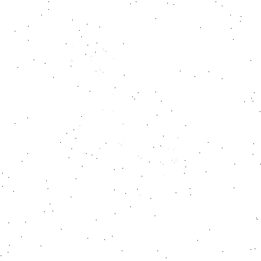 Cc1ccc(-n2nc(C(C)(C)C)cc2NC(=O)N[C@H]2CC[C@@H](Oc3ccc4nnc(C5CC5)n4c3)c3ccccc32)cc1